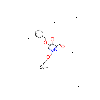 C[Si](C)(C)CCOCn1cc(OCc2ccccc2)c(=O)c(C=O)n1